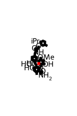 COc1cc(C(=O)O)c(Oc2c(CNc3ccc(CNC(=O)COC4CC(C)CCC4C(C)C)cc3)c(O)cc(C)c2C(N)=O)c(O)c1C